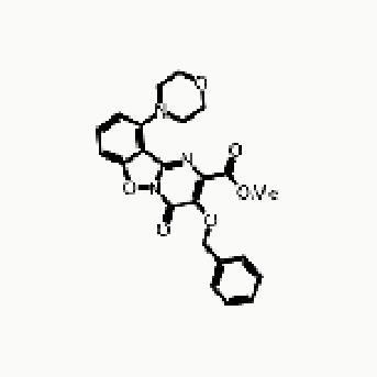 COC(=O)c1nc2c3c(N4CCOCC4)cccc3on2c(=O)c1OCc1ccccc1